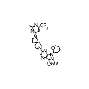 COc1nn(C2CCCCO2)c2nc(N3CCC4(CCN(c5cc(C(F)(F)F)nc(C)n5)C4)CC3)cnc12